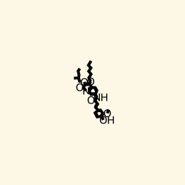 CCCCCCOc1c(OCC(C)CCC)c(=O)n(C)c2cc(NC(=O)C=Cc3ccc(O)c(OC)c3)ccc12